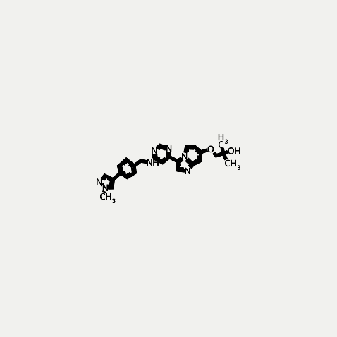 Cn1cc(-c2ccc(CNc3cc(-c4cnc5cc(OCC(C)(C)O)ccn45)ncn3)cc2)cn1